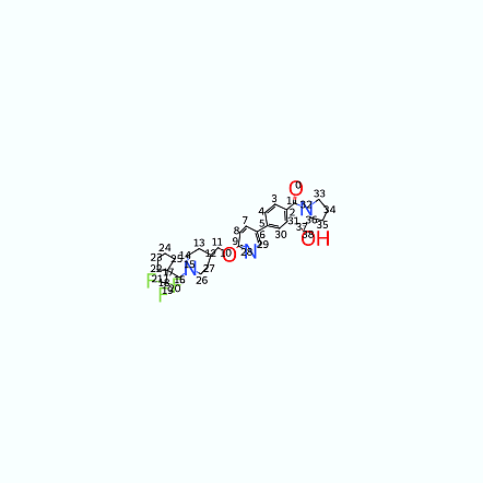 O=C(c1ccc(-c2ccc(OCC3CCN(CC4(C(F)(F)F)CCCC4)CC3)nc2)cc1)N1CCC[C@@H]1CO